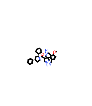 COc1ccc(C#N)c2c1CNC[C@]21CNCC1C(=O)N1CC[C@@H](c2ccccc2)C[C@H]1C1CCCCC1